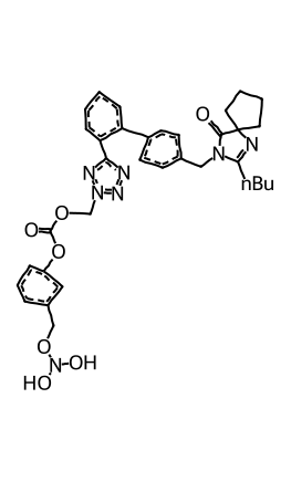 CCCCC1=NC2(CCCC2)C(=O)N1Cc1ccc(-c2ccccc2-c2nnn(COC(=O)Oc3cccc(CON(O)O)c3)n2)cc1